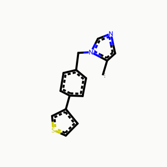 [C]c1cncn1Cc1ccc(-c2ccsc2)cc1